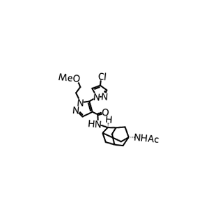 COCCn1ncc(C(=O)N[C@H]2C3CC4CC2C[C@](NC(C)=O)(C4)C3)c1-n1cc(Cl)cn1